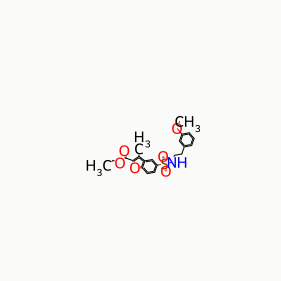 CCOC(=O)c1oc2ccc(S(=O)(=O)NCCc3cccc(OC)c3)cc2c1C